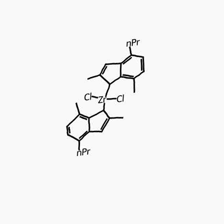 CCCc1ccc(C)c2c1C=C(C)[CH]2[Zr]([Cl])([Cl])[CH]1C(C)=Cc2c(CCC)ccc(C)c21